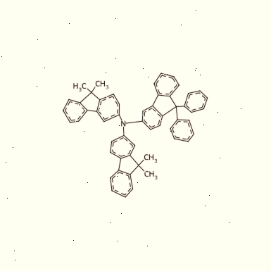 CC1(C)c2ccccc2-c2cc(N(c3ccc4c(c3)-c3ccccc3C4(c3ccccc3)c3ccccc3)c3ccc4c(c3)C(C)(C)c3ccccc3-4)ccc21